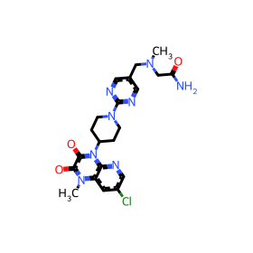 CN(CC(N)=O)Cc1cnc(N2CCC(n3c(=O)c(=O)n(C)c4cc(Cl)cnc43)CC2)nc1